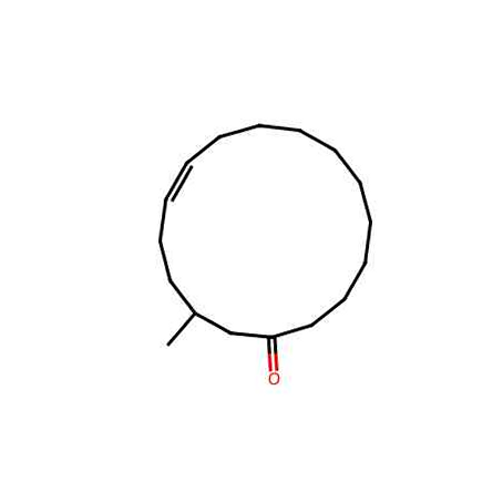 CC1CCC=CCCCCCCCCCC(=O)C1